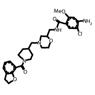 COc1cc(N)c(Cl)cc1C(=O)NCC1CN(CC2CCN(C(=O)c3cccc4c3OCC4)CC2)CCO1